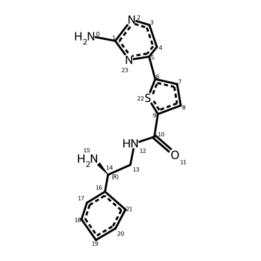 Nc1nccc(-c2ccc(C(=O)NC[C@H](N)c3ccccc3)s2)n1